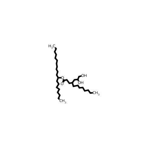 CCCCCCCCCCCC(CCCCCCCC)OC(=O)CCC(CCCCCCCC)CC(O)CO